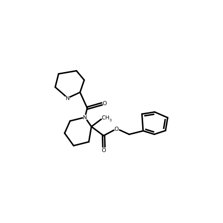 CC1(C(=O)OCc2ccccc2)CCCCN1C(=O)C1CCCC[N]1